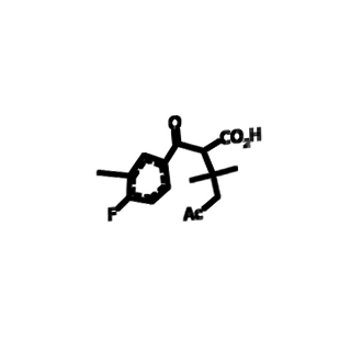 CC(=O)CC(C)(C)C(C(=O)O)C(=O)c1ccc(F)c(C)c1